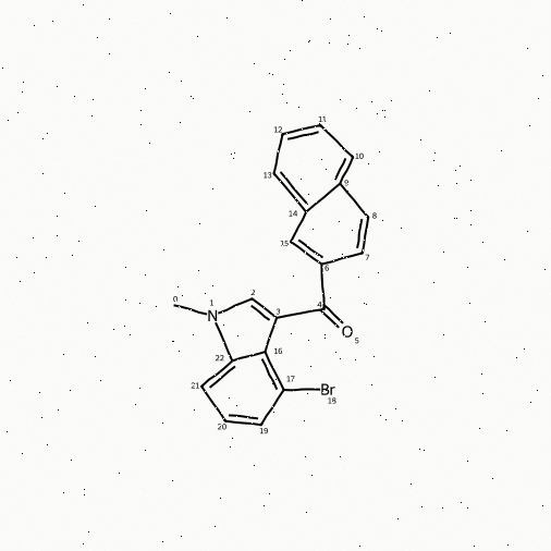 Cn1cc(C(=O)c2ccc3ccccc3c2)c2c(Br)cccc21